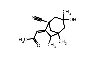 CC(=O)/C=C1\C(C)C2(C)CC(C)(O)C[C@]1(C#N)C2